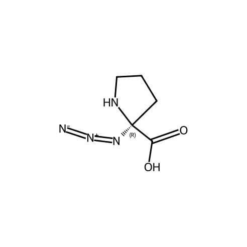 [N-]=[N+]=N[C@@]1(C(=O)O)CCCN1